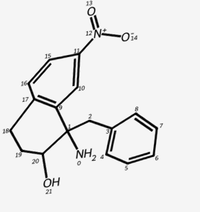 NC1(Cc2ccccc2)c2cc([N+](=O)[O-])ccc2CCC1O